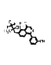 Cc1cccc(-c2ncc(C)c3cc(CC(C)(C)C(F)(F)F)ccc23)c1